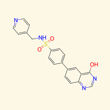 O=S(=O)(NCc1ccncc1)c1ccc(-c2ccc3ncnc(O)c3c2)cc1